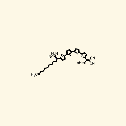 C=CCCCCCCCC/C(=C(/N)C#N)c1ccc(-c2ccc(-c3ccc(-c4ccc(C(CCCCCC)=C(C#N)C#N)s4)s3)s2)s1